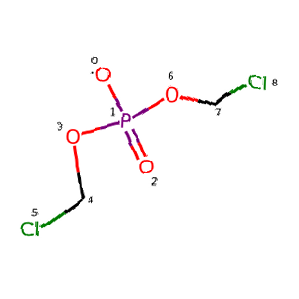 [O]P(=O)(OCCl)OCCl